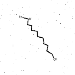 CCNCCCCCCCCCCO